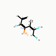 C=C(C)/C(F)=C(P)\C(CC)=C(\F)CF